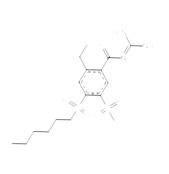 CCCCCCS(=O)(=O)c1cc(CC)c(C(=O)N=C(N)N)cc1S(C)(=O)=O